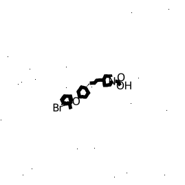 Cc1c(Br)cccc1O[C@H]1CC[C@@H](CCCC2CCN(C(=O)O)CC2)CC1